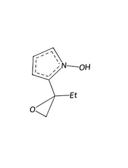 CCC1(c2cccn2O)CO1